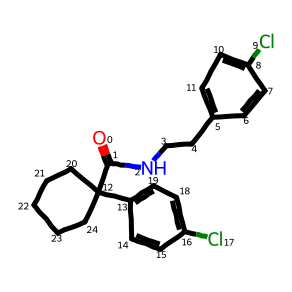 O=C(NCCc1ccc(Cl)cc1)C1(c2ccc(Cl)cc2)CCCCC1